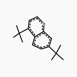 CC(C)(C)c1ccc2c(C(C)(C)C)ccnc2c1